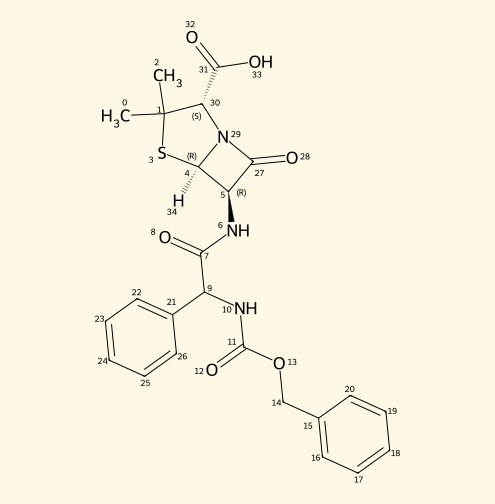 CC1(C)S[C@@H]2[C@H](NC(=O)C(NC(=O)OCc3ccccc3)c3ccccc3)C(=O)N2[C@H]1C(=O)O